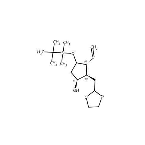 C=C[C@H]1C(O[Si](C)(C)C(C)(C)C)C[C@H](O)[C@@H]1CC1OCCO1